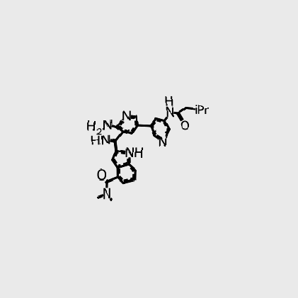 CC(C)CC(=O)Nc1cncc(-c2cnc(N)c(C(=N)c3cc4c(C(=O)N(C)C)cccc4[nH]3)c2)c1